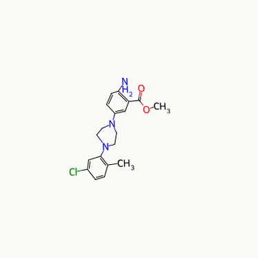 COC(=O)c1cc(N2CCN(c3cc(Cl)ccc3C)CC2)ccc1N